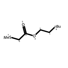 CCCCCCOC(=O)CSC